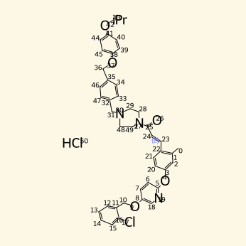 Cc1cc(Oc2ccc(OCc3ccccc3Cl)cn2)ccc1/C=C/C(=O)N1CCN(Cc2ccc(COc3ccc(OC(C)C)cc3)cc2)CC1.Cl